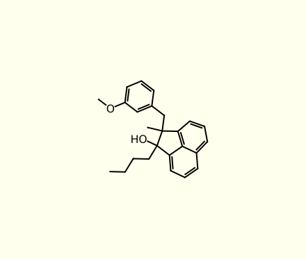 CCCCC1(O)c2cccc3cccc(c23)C1(C)Cc1cccc(OC)c1